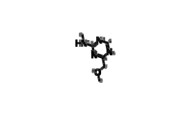 CNc1ncnc(COC)n1